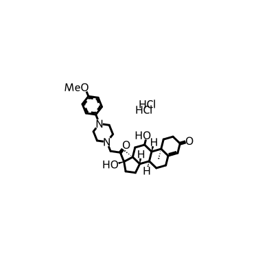 COc1ccc(N2CCN(CC(=O)[C@@]3(O)CC[C@H]4[C@@H]5CCC6=CC(=O)CC[C@]6(C)[C@H]5C(O)C[C@@]43C)CC2)cc1.Cl.Cl